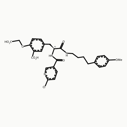 COc1ccc(CCCCNC(=O)[C@H](Cc2ccc(OCC(=O)O)c(C(=O)O)c2)NC(=O)c2ccc(Cl)nc2)cc1